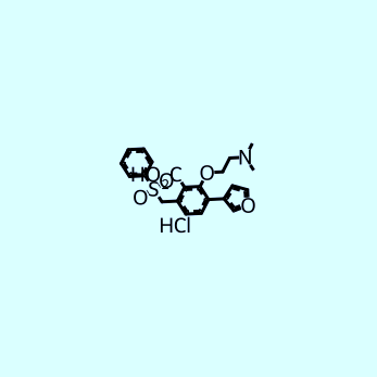 CN(C)CCOc1c(-c2ccoc2)ccc(CS(=O)(=O)c2ccccc2)c1C(=O)O.Cl